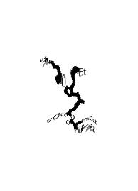 C=C(CCCNS)OC1CCC(CC(C)CCCC(CCCCCCCC)OC(=O)C(CCCCCC)CCCCCCCC)C1C/C=C\CC